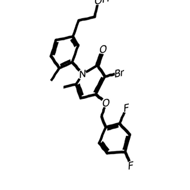 Cc1ccc(CCO)cc1-n1c(C)cc(OCc2ccc(F)cc2F)c(Br)c1=O